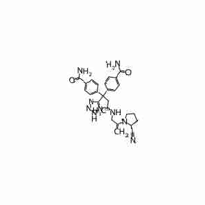 C=C(CN[C@@H](C)CC(c1ccc(C(N)=O)cc1)(c1ccc(C(N)=O)cc1)c1nn[nH]n1)N1CCCC1C#N